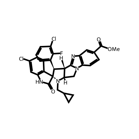 COC(=O)c1ccc2c(c1)nc1n2C[C@H]2[C@@H]1[C@H](c1cccc(Cl)c1F)[C@]1(C(=O)Nc3cc(Cl)ccc31)N2CC1CC1